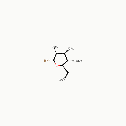 CC(=O)OC[C@H]1O[C@H](Br)[C@H](OC(C)=O)[C@@H](OC(C)=O)[C@@H]1OC(C)=O